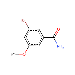 CC(C)Oc1cc(Br)cc(C(N)=O)c1